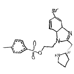 Cc1ccc(S(=O)(=O)OCCN2C(C[C@@H]3CCCN3)=NC3C=C(Br)C=CC32)cc1